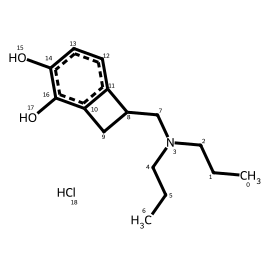 CCCN(CCC)CC1Cc2c1ccc(O)c2O.Cl